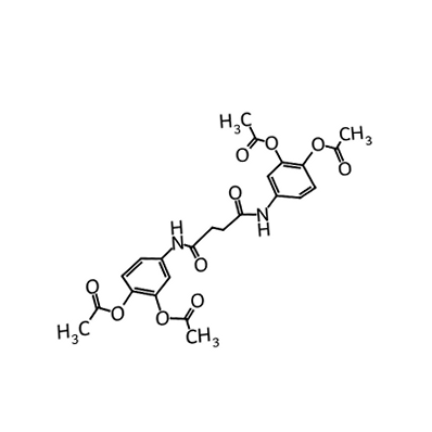 CC(=O)Oc1ccc(NC(=O)CCC(=O)Nc2ccc(OC(C)=O)c(OC(C)=O)c2)cc1OC(C)=O